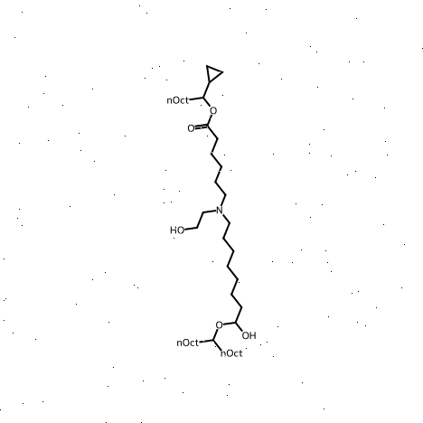 CCCCCCCCC(CCCCCCCC)OC(O)CCCCCCCN(CCO)CCCCCC(=O)OC(CCCCCCCC)C1CC1